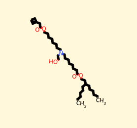 CCCCCCC(CCCCCC)CCOC(=O)CCCCCCCN(CCO)CCCCCCCCOC(=O)CC12CC(C1)C2